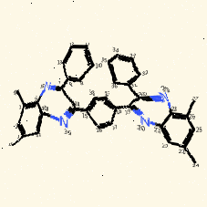 Cc1cc(C)c2nc(-c3ccccc3)c(-c3ccc(-c4nc5cc(C)cc(C)c5nc4-c4ccccc4)cc3)nc2c1